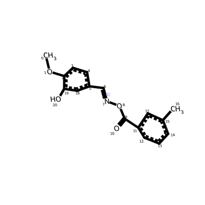 COc1ccc(/C=N/OC(=O)c2cccc(C)c2)cc1O